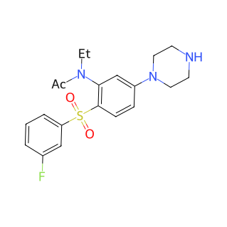 CCN(C(C)=O)c1cc(N2CCNCC2)ccc1S(=O)(=O)c1cccc(F)c1